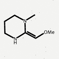 CO/C=C1/NCCCN1C